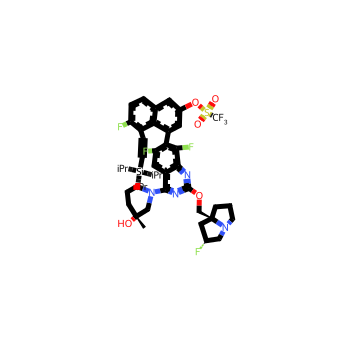 CC(C)[Si](C#Cc1c(F)ccc2cc(OS(=O)(=O)C(F)(F)F)cc(-c3c(F)cc4c(N5CCC[C@@](C)(O)C5)nc(OC[C@@]56CCCN5C[C@H](F)C6)nc4c3F)c12)(C(C)C)C(C)C